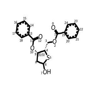 O=C(OC[C@@H]1SC(O)C[C@@H]1OC(=O)c1ccccc1)c1ccccc1